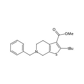 COC(=O)c1c(C(C)(C)C)sc2c1CCN(Cc1ccccc1)C2